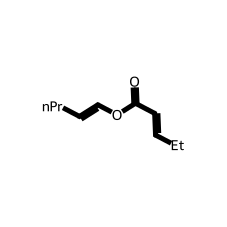 CCC=CC(=O)OC=CCCC